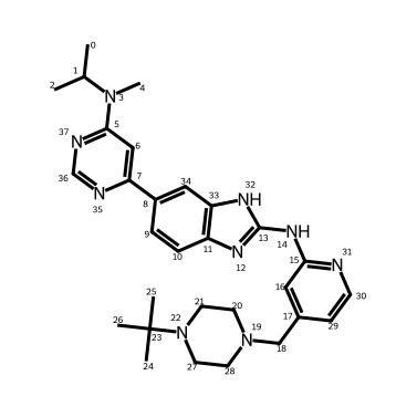 CC(C)N(C)c1cc(-c2ccc3nc(Nc4cc(CN5CCN(C(C)(C)C)CC5)ccn4)[nH]c3c2)ncn1